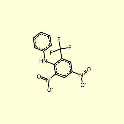 O=[N+]([O-])c1cc([N+](=O)[O-])c(Nc2ccccc2)c(C(F)(F)F)c1